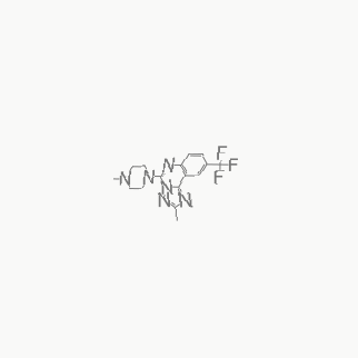 Cc1nc2c3cc(C(F)(F)F)ccc3nc(N3CCN(C)CC3)n2n1